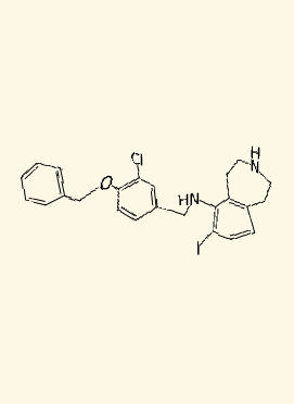 Clc1cc(CNc2c(I)ccc3c2CCNCC3)ccc1OCc1ccccc1